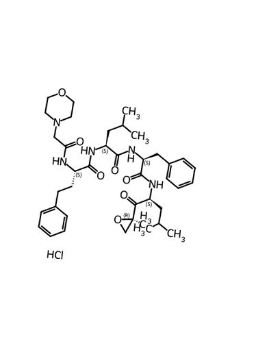 CC(C)C[C@H](NC(=O)[C@H](CCc1ccccc1)NC(=O)CN1CCOCC1)C(=O)N[C@@H](Cc1ccccc1)C(=O)N[C@@H](CC(C)C)C(=O)[C@@]1(C)CO1.Cl